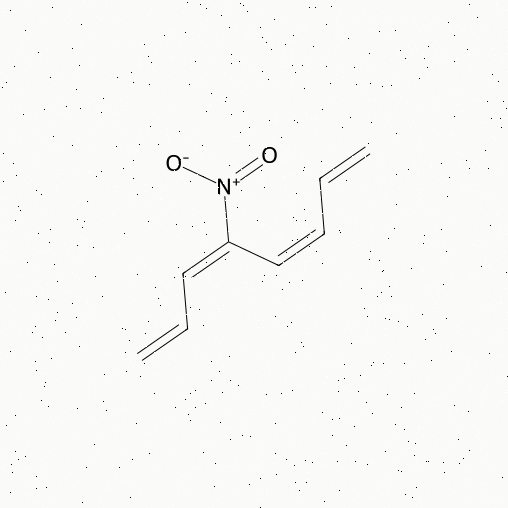 C=C/C=C\C(=C/C=C)[N+](=O)[O-]